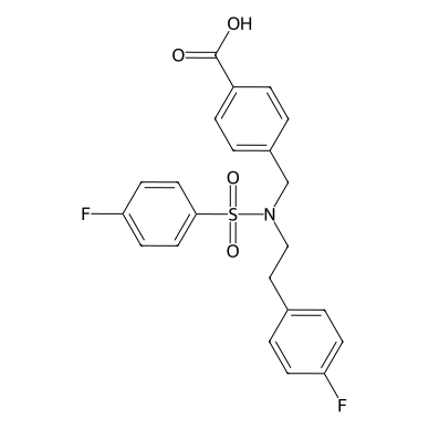 O=C(O)c1ccc(CN(CCc2ccc(F)cc2)S(=O)(=O)c2ccc(F)cc2)cc1